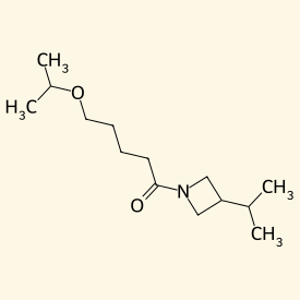 CC(C)OCCCCC(=O)N1CC(C(C)C)C1